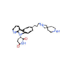 O=C1CCC(n2c3ccc(CCCN4CC5(CCNCC5)C4)cc3c3cccnc32)C(=O)N1